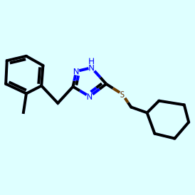 Cc1ccccc1Cc1n[nH]c(SCC2CCCCC2)n1